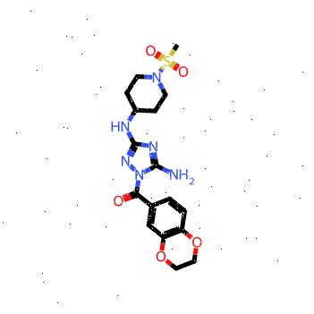 CS(=O)(=O)N1CCC(Nc2nc(N)n(C(=O)c3ccc4c(c3)OCCO4)n2)CC1